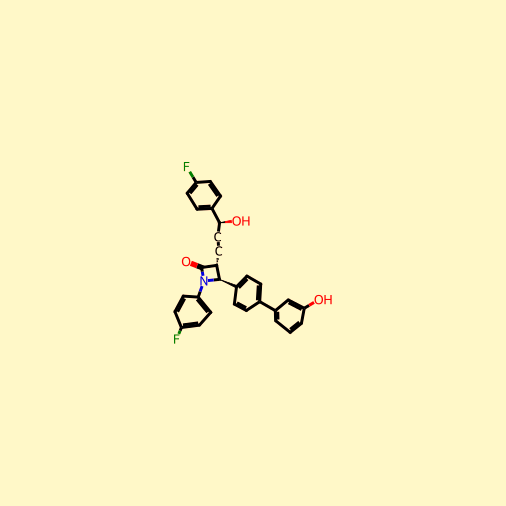 O=C1[C@H](CC[C@H](O)c2ccc(F)cc2)[C@@H](c2ccc(-c3cccc(O)c3)cc2)N1c1ccc(F)cc1